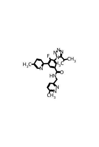 Cc1ccc(-c2cc(C(=O)NCc3ccc(C)nn3)cc(-n3nnnc3C(C)C)c2F)nc1